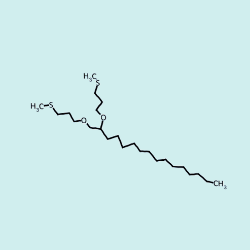 CCCCCCCCCCCCCCC(COCCCSC)OCCCSC